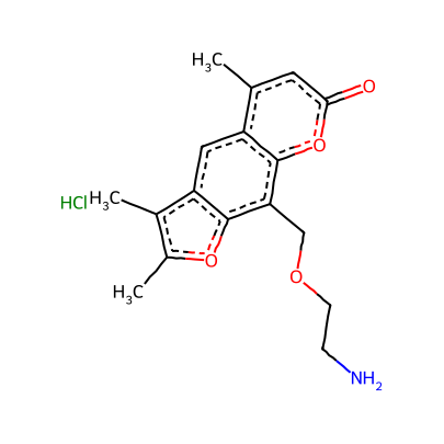 Cc1oc2c(COCCN)c3oc(=O)cc(C)c3cc2c1C.Cl